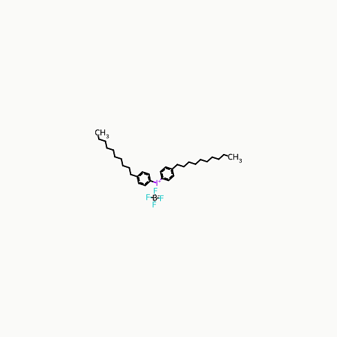 CCCCCCCCCCc1ccc([I+]c2ccc(CCCCCCCCCC)cc2)cc1.F[B-](F)(F)F